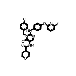 O=C(Nc1cnc(Nc2ccc(Oc3cccc(F)n3)cc2)n(Cc2ccc(Cl)cc2)c1=O)C1CCOCC1